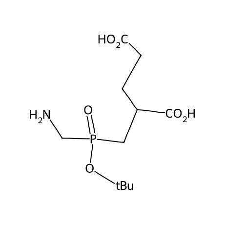 CC(C)(C)OP(=O)(CN)CC(CCC(=O)O)C(=O)O